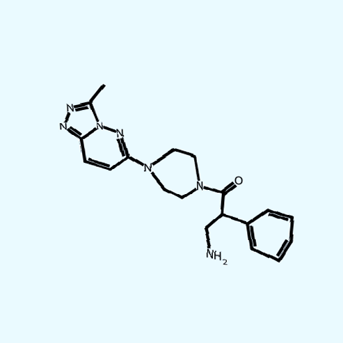 Cc1nnc2ccc(N3CCN(C(=O)C(CN)c4ccccc4)CC3)nn12